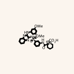 COc1cc(Nc2nc3ccccc3nc2NS(=O)(=O)c2cccc(NC(=O)C3(C(C)(C)C)CCCCN3C(=O)O)c2)cc(OC)c1